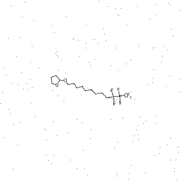 FC(F)(F)C(F)(F)C(F)(F)CCCCCCCCCOC1CCCO1